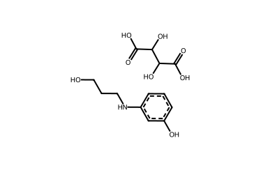 O=C(O)C(O)C(O)C(=O)O.OCCCNc1cccc(O)c1